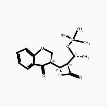 C[C@@H](O[Si](C)(C)C(C)(C)C)[C@H]1C(=O)N[C@@H]1[C@@H]1COc2ccccc2C1=O